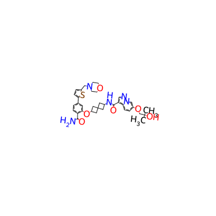 CC(C)(O)COc1ccc2c(C(=O)NC3CC4(C3)CC(Oc3cc(-c5ccc(CN6CCOCC6)s5)ccc3C(N)=O)C4)cnn2c1